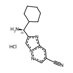 Cl.N#Cc1cnn2cc([C@@H](N)C3CCCCC3)nc2c1